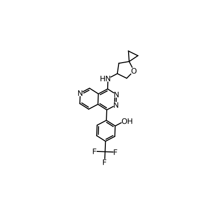 Oc1cc(C(F)(F)F)ccc1-c1nnc(NC2COC3(CC3)C2)c2cnccc12